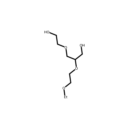 CCOCCOC(CO)COCCO